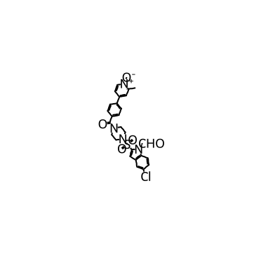 Cc1cc(-c2ccc(C(=O)N3CCN(S(=O)(=O)c4cc5cc(Cl)ccc5n4C=O)CC3)cc2)cc[n+]1[O-]